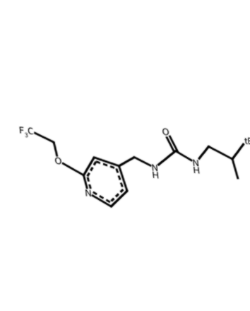 CC(CNC(=O)NCc1ccnc(OCC(F)(F)F)c1)C(C)(C)C